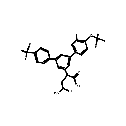 CC(C)CC(C(=O)O)c1cc(-c2ccc(C(F)(F)F)cc2)cc(-c2ccc(OC(F)(F)F)c(F)c2)c1